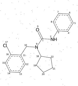 O=C(Nc1ccccc1)N(Cc1ccccc1Cl)C1CCCC1